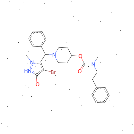 CN(CCc1ccccc1)C(=O)OC1CCN(C(c2ccccc2)c2c(Br)c(=O)[nH]n2C)CC1